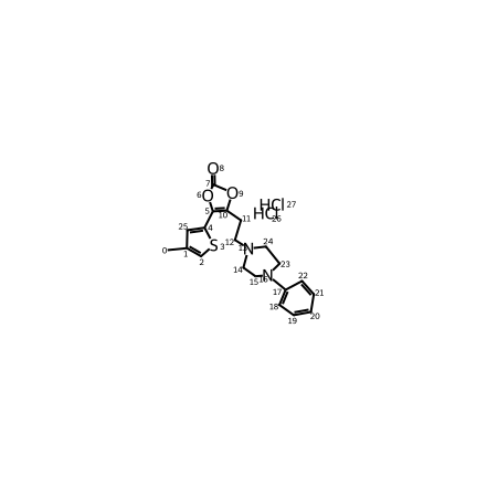 Cc1csc(-c2oc(=O)oc2CCN2CCN(c3ccccc3)CC2)c1.Cl.Cl